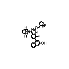 Oc1cc(-c2ccc3c(N4C[C@H]5CC[C@@H](C4)N5)nc(OCC4CCCC4(F)F)nc3c2F)c2ccccc2c1